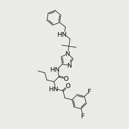 CCCC(NC(=O)Cc1cc(F)cc(F)c1)C(=O)Nc1cn(C(C)(C)CNCc2ccccc2)cn1